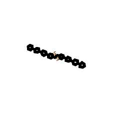 c1ccc(-c2ccc(-c3ccc(-c4ccc5c(c4)sc4c6ccc(-c7ccc(-c8ccc(-c9ccccc9)cc8)cc7)cc6sc54)cc3)cc2)cc1